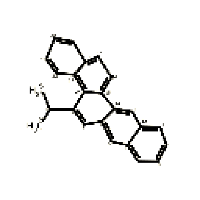 CC(C)c1cc2cc3ccccc3cc2c2ccc3ccccc3c12